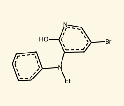 CCN(c1ccccc1)c1cc(Br)cnc1O